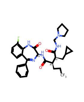 O=C1Nc2c(F)cccc2C(c2ccccc2)=N[C@@H]1NC(=O)[C@H](CCC(F)(F)F)[C@H](CC1CC1)C(=O)NCN1CCCC1